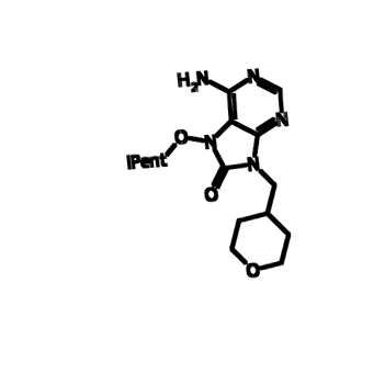 CCCC(C)On1c(=O)n(CC2CCOCC2)c2ncnc(N)c21